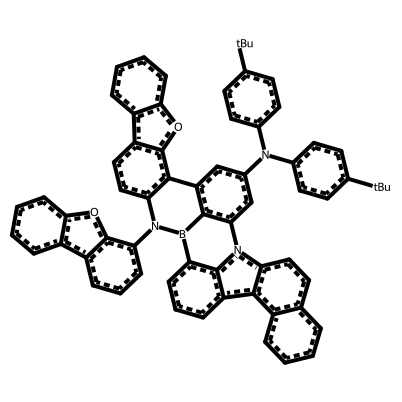 CC(C)(C)c1ccc(N(c2ccc(C(C)(C)C)cc2)c2cc3c4c(c2)-n2c5ccc6ccccc6c5c5cccc(c52)B4N(c2cccc4c2oc2ccccc24)c2ccc4c(oc5ccccc54)c2-3)cc1